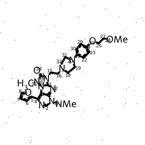 CNN1C=NC(c2ccco2)=C2C1=NC1N(CCN3CCN(c4ccc(OCCOC)cc4)CC3)C(=O)N(C)N21